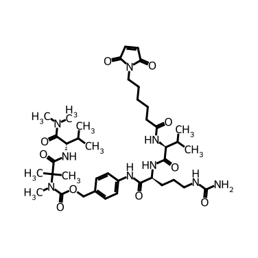 CC(C)[C@H](NC(=O)CCCCCN1C(=O)C=CC1=O)C(=O)N[C@@H](CCCNC(N)=O)C(=O)Nc1ccc(COC(=O)N(C)C(C)(C)C(=O)N[C@H](C(=O)N(C)C)C(C)C)cc1